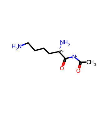 CC(=O)[N]C(=O)[C@@H](N)CCCCN